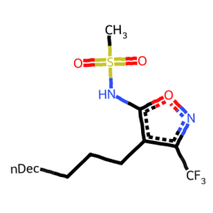 CCCCCCCCCCCCCc1c(C(F)(F)F)noc1NS(C)(=O)=O